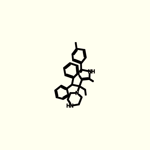 CCC(c1nc(-c2ccc(C)cc2)[nH]c1C)(C(c1ccccc1)c1ccccc1)N1CCNCC1